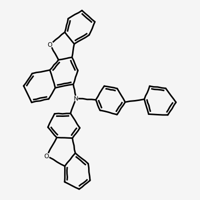 c1ccc(-c2ccc(N(c3ccc4oc5ccccc5c4c3)c3cc4c5ccccc5oc4c4ccccc34)cc2)cc1